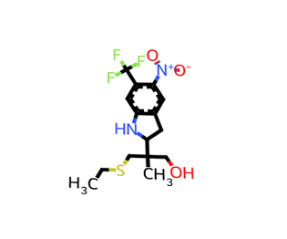 CCSCC(C)(CO)C1Cc2cc([N+](=O)[O-])c(C(F)(F)F)cc2N1